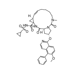 COc1ccc2c(O[C@@H]3C[C@H]4C(=O)N[C@]5(C(=O)NS(=O)(=O)C6CC6)C[C@H]5/C=C\CCCCN(C)C(=O)N4C3)nccc2c1-c1ccccc1